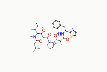 CCC(C)C(C(CC(=O)N1CCC[C@H]1C(OC)C(C)C(=O)NC(Cc1ccccc1)c1nccs1)OC)N(C)C(=O)CC(C)C